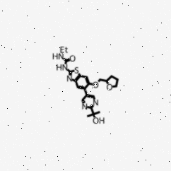 CCNC(=O)Nc1nc2cc(-c3cnc(C(C)(C)O)nc3)c(OCC3CCCO3)cc2s1